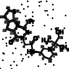 CC(C)c1nn(CC(=O)N[C@@H]2CCCN(C(C)(C)CO)C2)c(=O)c2cc3ccsc3n12